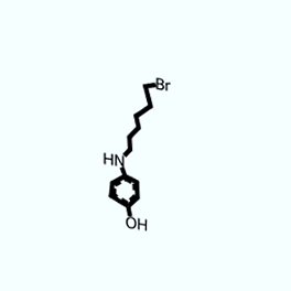 Oc1ccc(NCCCCCCBr)cc1